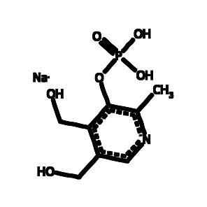 Cc1ncc(CO)c(CO)c1OP(=O)(O)O.[Na]